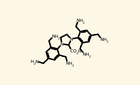 NCc1cc(CN)c(N2CCN(c3c(CN)cc(CN)cc3CN)C2C(=O)O)c(CN)c1